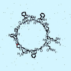 CCCC[C@H]1C(=O)N2CCC[C@@H]2C(=O)N[C@@H](CCCNC(=N)N)C(=O)N[C@H](C(=O)NCC(N)=O)CSCC(=O)N[C@@H](Cc2ccccc2)C(=O)N(C)[C@@H](C)C(=O)N[C@@H](CC(N)=O)C(=O)N2CCC[C@H]2C(=O)N[C@@H](Cc2cnc[nH]2)C(=O)N[C@@H](CC(C)C)C(=O)N(C)CC(=O)N[C@@H](Cc2c[nH]c3ccccc23)C(=O)N[C@@H](CO)C(=O)N[C@@H](Cc2c[nH]c3ccccc23)C(=O)N1C